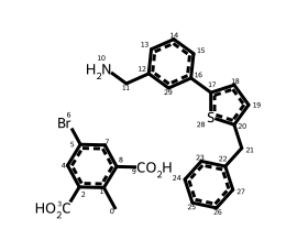 Cc1c(C(=O)O)cc(Br)cc1C(=O)O.NCc1cccc(-c2ccc(Cc3ccccc3)s2)c1